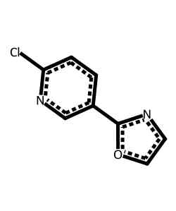 Clc1ccc(-c2ncco2)cn1